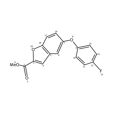 COC(=O)c1cc2cc(Oc3ccc(F)cc3)ccc2o1